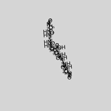 O=C=Nc1cccc(NC(=O)NCCCNC(=O)Nc2ccc3c(c2)C(C(=O)O)c2cc(NC(=O)NCCCNC(=O)Nc4cccc(N=C=O)c4)ccc2-3)c1